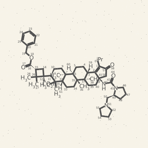 CC(C)C1=C2[C@H]3CC[C@@H]4[C@]5(C)CC[C@H]([C@@]6(C(=O)O)C[C@@H](C(=O)OCc7ccccc7)C6(C)C)C(C)(C)[C@H]5CC[C@@]4(C)[C@]3(C)CC[C@@]2(NC(=O)N2CCC[C@H]2CN2CCCC2)CC1=O